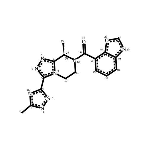 Cc1nsc(-c2nnc3n2CCN(C(=O)c2cccc4ncoc24)[C@@H]3C)n1